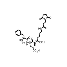 CC(C)N[C@@H](Cc1ccccc1)C(=O)N[C@@H](CCC(=O)O)C(=O)N[C@@H](CCCCNC(=O)CCN1C(=O)C=CC1=O)C(=O)O